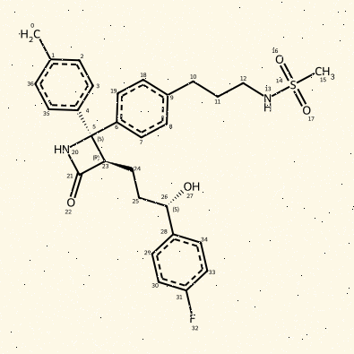 [CH2]c1ccc([C@@]2(c3ccc(CCCNS(C)(=O)=O)cc3)NC(=O)[C@@H]2CC[C@H](O)c2ccc(F)cc2)cc1